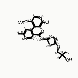 COc1cnc(Cl)cc1-c1cc(C)ncc1C(=O)Nc1nnc(OCC(C)(C)O)s1